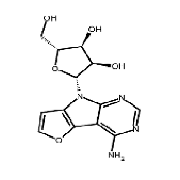 Nc1ncnc2c1c1occc1n2[C@@H]1O[C@H](CO)[C@@H](O)[C@H]1O